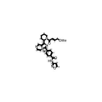 COC/C=C/C(=O)N1CCCCC1C1=C2C=NC=C[N+]2(N)C(c2ccc(C(=O)Nc3ccon3)cc2)=N1